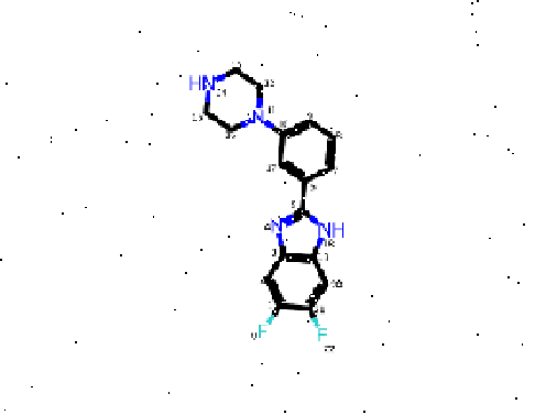 Fc1cc2nc(-c3cccc(N4CCNCC4)c3)[nH]c2cc1F